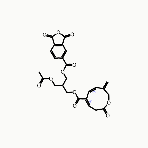 C=C1/C=C\C(C(=O)OCC(COC(C)=O)COC(=O)c2ccc3c(c2)C(=O)OC3=O)=C/CC(=O)OC1